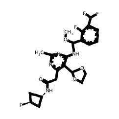 COC(Nc1nc(C)nc(CC(=O)N[C@H]2C[C@H](F)C2)c1C1OCCO1)c1cccc(C(F)F)c1F